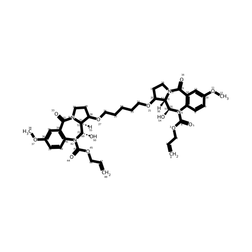 C=CCOC(=O)N1c2ccc(OC)cc2C(=O)N2CCC(OCCCCCOC3CCN4C(=O)c5cc(OC)ccc5N(C(=O)OCC=C)[C@@H](O)[C@H]34)[C@H]2[C@@H]1O